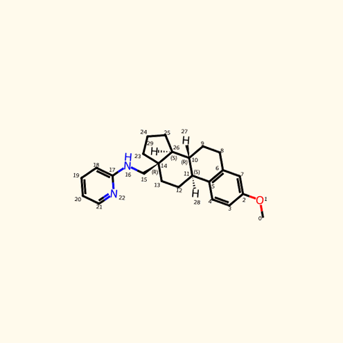 COc1ccc2c(c1)CC[C@@H]1[C@@H]2CC[C@]2(CNc3ccccn3)CCC[C@@H]12